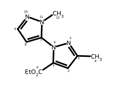 CCOC(=O)c1cc(C)nn1-c1ccnn1C